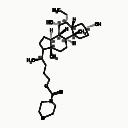 CC[C@H]1[C@@H](O)[C@@H]2[C@H](CC[C@]3(C)C([C@H](C)CCCOC(=O)N4CCOCC4)CC[C@@H]23)[C@@]2(C)CC[C@@H](O)C[C@@H]12